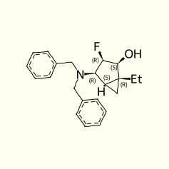 CC[C@@]12C[C@@H]1[C@@H](N(Cc1ccccc1)Cc1ccccc1)[C@@H](F)[C@H]2O